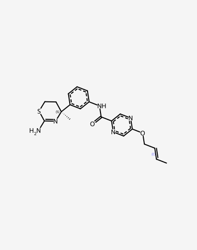 C/C=C/COc1cnc(C(=O)Nc2cccc([C@]3(C)CCSC(N)=N3)c2)cn1